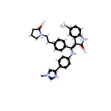 Cn1cnc(-c2ccc(N/C(=C3\C(=O)Nc4ccc([N+](=O)[O-])cc43)c3ccc(CCN4CCCC4=O)cc3)cc2)c1